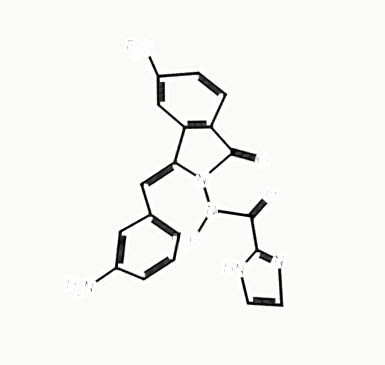 CN(C(=O)c1ncc[nH]1)N1C(=O)c2ccc(C(F)(F)F)cc2/C1=C/c1cccc(N)c1